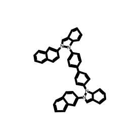 C1=CC2=CN(c3ccc4ccccc4c3)N(c3ccc(-c4ccc(N5C6C=CC=CC6=CN5c5ccc6ccccc6c5)cc4)cc3)C2C=C1